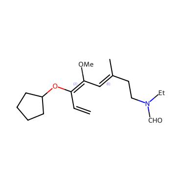 C=C/C(OC1CCCC1)=C(\C=C(/C)CCN(C=O)CC)OC